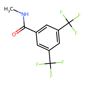 CNC(=O)c1cc(C(F)(F)F)cc(C(F)(F)F)c1